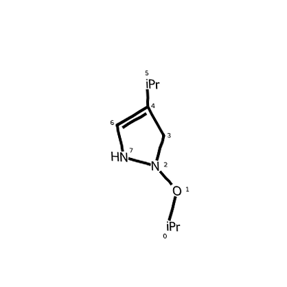 CC(C)ON1CC(C(C)C)=CN1